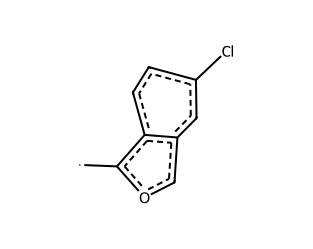 [CH2]c1occ2cc(Cl)ccc12